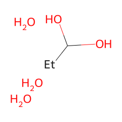 CCC(O)O.O.O.O